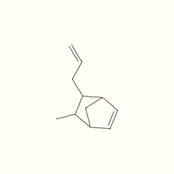 C=CCC1C2C=CC(C2)C1C